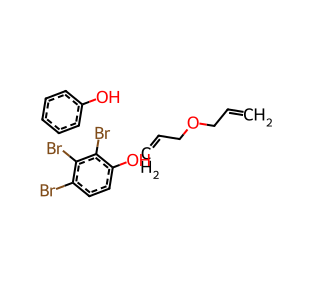 C=CCOCC=C.Oc1ccc(Br)c(Br)c1Br.Oc1ccccc1